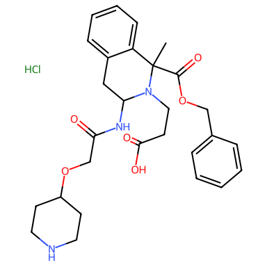 CC1(C(=O)OCc2ccccc2)c2ccccc2CC(NC(=O)COC2CCNCC2)N1CCC(=O)O.Cl